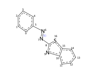 [c]1ccccc1/N=N/c1nc2ccccc2s1